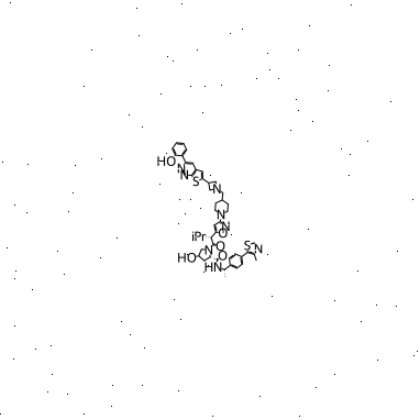 Cc1ncsc1-c1ccc([C@H](C)NC(=O)[C@@H]2C[C@@H](O)CN2C(=O)[C@@H](c2cc(N3CCC(CN4CC(c5cc6cc(-c7ccccc7O)nnc6s5)C4)CC3)no2)C(C)C)cc1